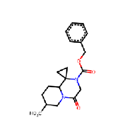 O=C(O)C1CCC2N(C1)C(=O)CN(C(=O)OCc1ccccc1)C21CC1